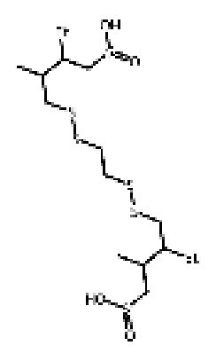 CCC(CSSCCSSCC(C)C(CC)CS(=O)O)C(C)CS(=O)O